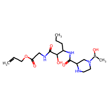 C=CCOC(=O)CNC(=O)C(O)C(CCC)NC(=O)C1CN(B(C)O)CCN1